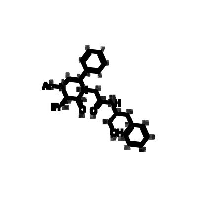 CC(=O)N1C=C(c2ccccc2)N(CC(=O)N[C@H](CO)Cc2ccccc2)C(=O)C1C(C)C